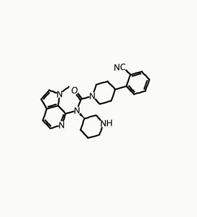 Cn1ccc2ccnc(N(C(=O)N3CCC(c4ccccc4C#N)CC3)[C@@H]3CCCNC3)c21